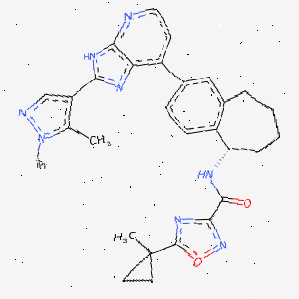 Cc1c(-c2nc3c(-c4ccc5c(c4)CCCC[C@@H]5NC(=O)c4noc(C5(C)CC5)n4)ccnc3[nH]2)cnn1C(C)C